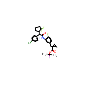 CC(C)(I)OC(=O)C1(Cc2ccc(F)c(NC(=O)C(c3ccc(Cl)cc3)C3CCCC3(F)F)c2)CC1